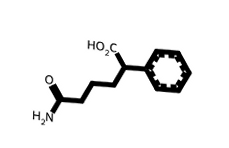 NC(=O)CCCC(C(=O)O)c1ccccc1